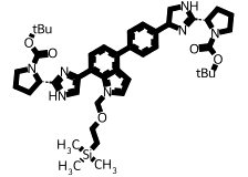 CC(C)(C)OC(=O)N1CCC[C@H]1C1=NC(c2ccc(-c3ccc(-c4c[nH]c([C@@H]5CCCN5C(=O)OC(C)(C)C)n4)c4c3ccn4COCC[Si](C)(C)C)cc2)CN1